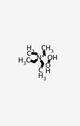 CC[N+](CC)(CC)CC.OO